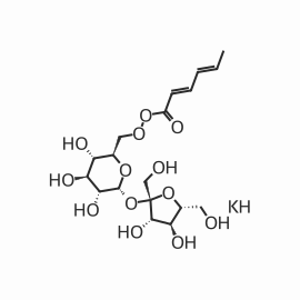 C/C=C/C=C/C(=O)OOC[C@H]1O[C@H](O[C@]2(CO)O[C@H](CO)[C@@H](O)[C@@H]2O)[C@H](O)[C@@H](O)[C@@H]1O.[KH]